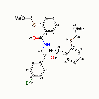 COCSc1ccccc1C(=O)NCC(=O)c1ccc(Br)cc1.COCSc1ccccc1C(=O)O